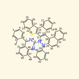 Cc1ccccc1-c1nc(N2c3c(c4ccccc4c4c3sc3ccccc34)-c3c(ccc4ccccc34)N2c2ccccc2)nc2c(C)cccc12